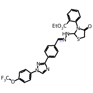 CCOC(=O)c1ccccc1N1C(=O)CSC1N/N=C/c1ccc(-c2ncn(-c3ccc(OC(F)(F)F)cc3)n2)cc1